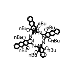 CCCCOc1c2c(c(OCCCC)c3cc4ccccc4cc13)-c1nc-2nc2[nH]c(nc3nc(nc4c5c(OCCCC)c6cc7ccccc7cc6c(OCCCC)c5c(n1)n4C)-c1c-3c(OCCCC)c3cc4ccccc4cc3c1OCCCC)c1c(OCCCC)c3ncccc3c(OCCCC)c21